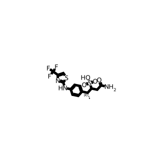 C[C@H](c1ccc(Nc2nc(C(F)(F)F)cs2)cc1)C(CC(N)=O)S(=O)(=O)O